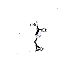 CCCC/C(=C/OCC1CO1)CC